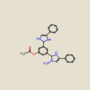 CC(=O)Oc1cc(C2NC=C(c3ccccc3)N2)cc(C2NC(c3ccccc3)=CN2N)c1